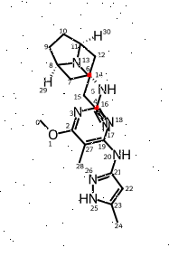 COc1nc(N[C@@H]2C[C@H]3CC[C@@H](C2)N3CCC#N)nc(Nc2cc(C)[nH]n2)c1C